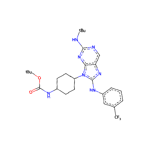 CC(C)(C)Nc1ncc2nc(Nc3cccc(C(F)(F)F)c3)n(C3CCC(NC(=O)OC(C)(C)C)CC3)c2n1